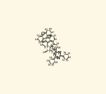 C#Cc1ccccc1-c1cccc2c1-c1c(-c3ccc(-c4nc(-c5ccccc5)nc(-c5ccccc5)n4)cc3)cccc1C21c2ccccc2Oc2ccccc21